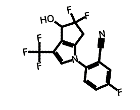 N#Cc1cc(F)ccc1-n1cc(C(F)(F)F)c2c1CC(F)(F)C2O